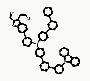 C=Cc1oc2cc(-c3cccc(N(c4ccc(-c5cccc(-c6ccccc6)c5)cc4)c4ccc(-c5cccc(-c6cccc(-n7c8ccccc8c8ccccc87)c6)c5)cc4)c3)ccc2c1/C=C\C